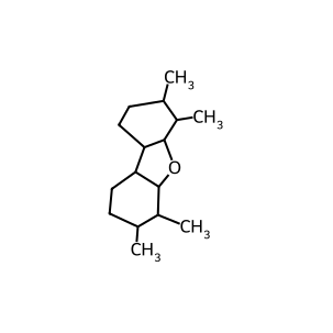 CC1CCC2C3CCC(C)C(C)C3OC2C1C